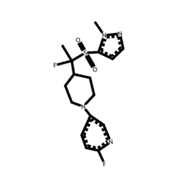 Cn1nccc1S(=O)(=O)C(C)(F)C1CCN(c2ccc(F)nc2)CC1